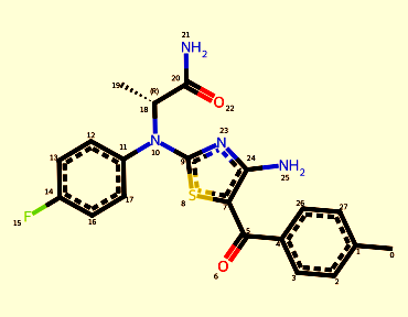 Cc1ccc(C(=O)c2sc(N(c3ccc(F)cc3)[C@H](C)C(N)=O)nc2N)cc1